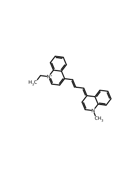 CC[n+]1ccc(/C=C/C=C2\C=CN(C)c3ccccc32)c2ccccc21